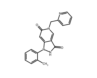 Cc1ccccc1-n1[nH]c(=O)c2cn(Cc3ccccn3)c(=O)cc21